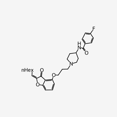 CCCCCCC=C1Oc2cccc(OCCCN3CCC(NC(=O)c4ccc(F)cc4)CC3)c2C1=O